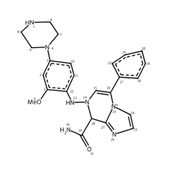 COc1cc(N2CCNCC2)ccc1NN1C=C(c2ccccc2)[N+]2C=CN=C2C1C(N)=O